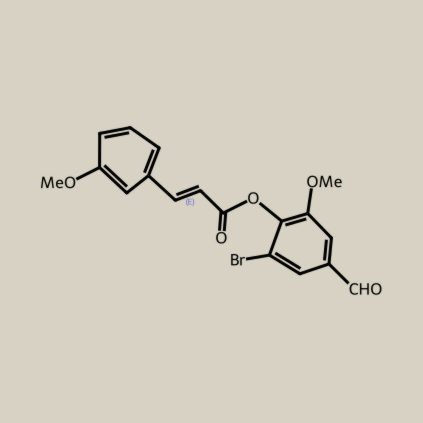 COc1cccc(/C=C/C(=O)Oc2c(Br)cc(C=O)cc2OC)c1